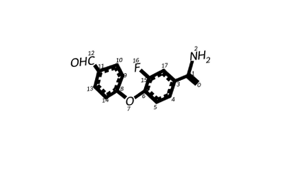 C=C(N)c1ccc(Oc2ccc(C=O)cc2)c(F)c1